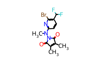 CC1=C(C)C(=O)N(N(C)c2ccc(C(F)F)c(Br)n2)C1=O